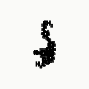 CCCCc1ccc(C#Cc2ccc(CN(Cc3ccc(OC(C)=O)cc3)C(=O)Nc3ccc(C#N)cc3)cc2)cc1